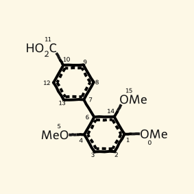 COc1ccc(OC)c(-c2ccc(C(=O)O)cc2)c1OC